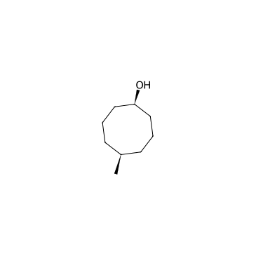 C[C@H]1CCC[C@@H](O)CCC1